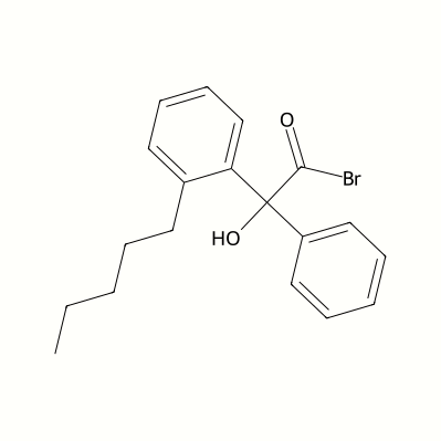 CCCCCc1ccccc1C(O)(C(=O)Br)c1ccccc1